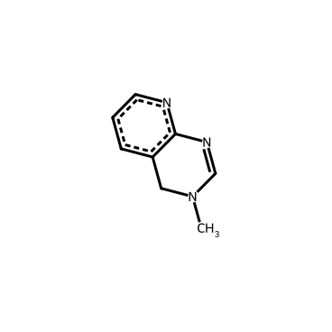 CN1C=Nc2ncccc2C1